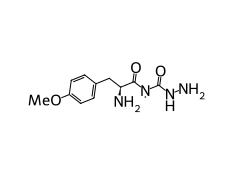 COc1ccc(C[C@H](N)C(=O)[N]C(=O)NN)cc1